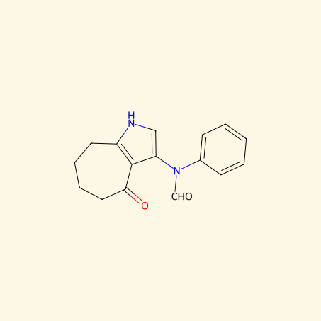 O=CN(c1ccccc1)c1c[nH]c2c1C(=O)CCCC2